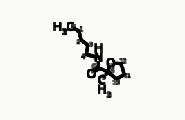 CCCCCNC(=O)C1(C)CCCO1